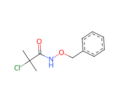 CC(C)(Cl)C(=O)NOCc1ccccc1